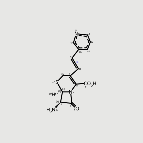 N[C@@H]1C(=O)N2C(C(=O)O)=C(/C=C/c3cccnc3)CS[C@H]12